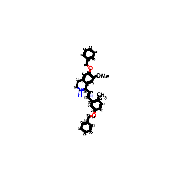 COc1cc2c(cc1OCc1ccccc1)CCNC2/C=C/c1cc(OCc2ccccc2)ccc1C